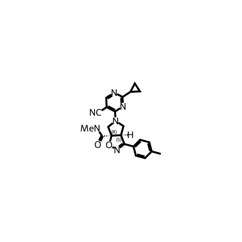 CNC(=O)[C@]12CN(c3nc(C4CC4)ncc3C#N)C[C@H]1C(c1ccc(C)cc1)=NO2